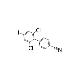 N#Cc1ccc(-c2c(Cl)cc(I)cc2Cl)cc1